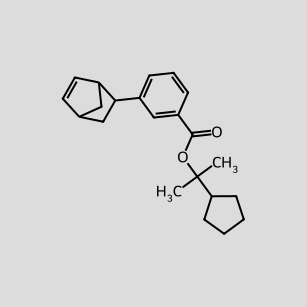 CC(C)(OC(=O)c1cccc(C2CC3C=CC2C3)c1)C1CCCC1